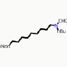 CCCCCCCCCCCCCCCCCCN(C=O)CCCC